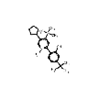 Cc1cc(C(C)(C)C)ccc1-c1cc([Si](C)(C)C)c(C2CCCC2)c[n+]1C